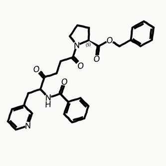 O=C(NC(Cc1cccnc1)C(=O)CCC(=O)N1CCC[C@H]1C(=O)OCc1ccccc1)c1ccccc1